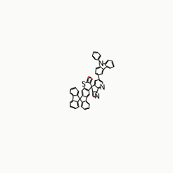 c1ccc(-n2c3ccccc3c3cc(-c4cnc5c(c4)C4(c6ccccc6Sc6cc7c(cc64)-c4ccccc4C74c6ccccc6-c6ccccc64)c4cccnc4-5)ccc32)cc1